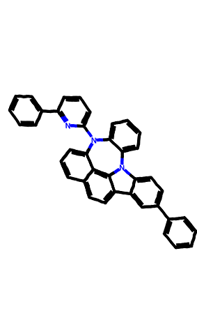 c1ccc(-c2ccc3c(c2)c2ccc4cccc5c4c2n3c2ccccc2n5-c2cccc(-c3ccccc3)n2)cc1